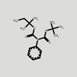 CCC(C)(C)OC(=O)N(C(=O)OC(C)(C)C)c1ccccc1